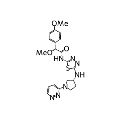 COc1ccc([C@H](OC)C(=O)Nc2nnc(N[C@@H]3CCN(c4cccnn4)C3)s2)cc1